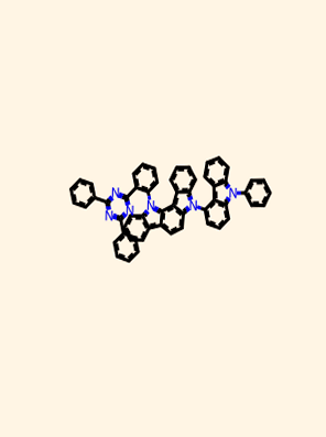 c1ccc(-c2nc(-c3ccccc3)nc(-c3ccccc3-n3c4ccccc4c4ccc5c(c6ccccc6n5-c5cccc6c5c5ccccc5n6-c5ccccc5)c43)n2)cc1